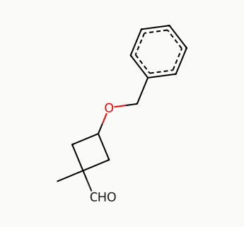 CC1(C=O)CC(OCc2ccccc2)C1